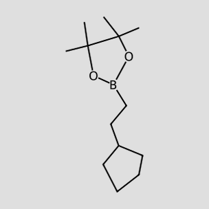 CC1(C)OB(CCC2CCCC2)OC1(C)C